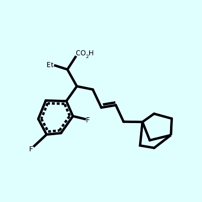 CCC(C(=O)O)C(CC=CCC12CCC(CC1)C2)c1ccc(F)cc1F